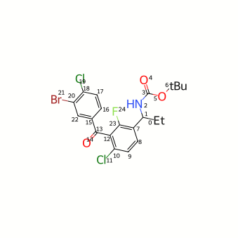 CCC(NC(=O)OC(C)(C)C)c1ccc(Cl)c(C(=O)c2ccc(Cl)c(Br)c2)c1F